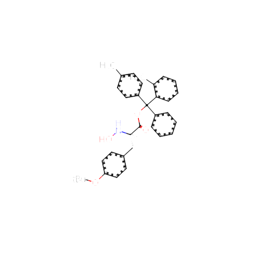 Cc1ccc(C(OC(=O)[C@H](Cc2ccc(OC(C)(C)C)cc2)NO)(c2ccccc2)c2ccccc2C)cc1